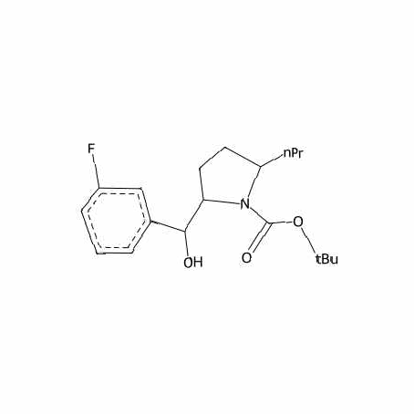 CCCC1CCC(C(O)c2cccc(F)c2)N1C(=O)OC(C)(C)C